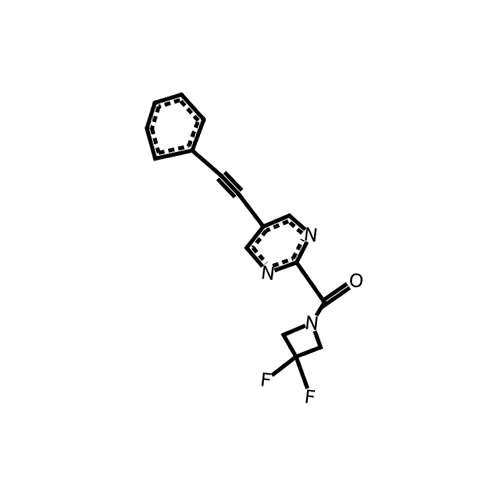 O=C(c1ncc(C#Cc2ccccc2)cn1)N1CC(F)(F)C1